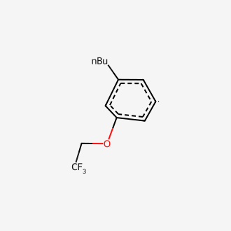 CCCCc1c[c]cc(OCC(F)(F)F)c1